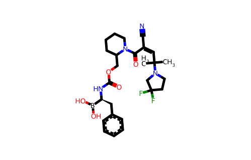 CC(C)(/C=C(/C#N)C(=O)N1CCCCC1COC(=O)N[C@@H](Cc1ccccc1)B(O)O)N1CCC(F)(F)C1